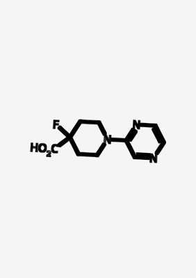 O=C(O)C1(F)CCN(c2cnccn2)CC1